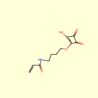 C=CC(=O)NCCCCOc1c(O)c(=O)c1=O